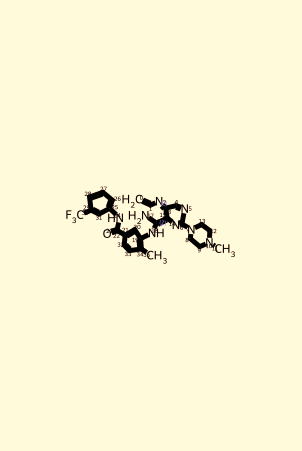 C=C/N=C1/C=NC(N2CCN(C)CC2)=N/C1=C(/N)Nc1cc(C(=O)Nc2cccc(C(F)(F)F)c2)ccc1C